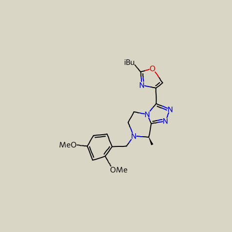 CCC(C)c1nc(-c2nnc3n2CCN(Cc2ccc(OC)cc2OC)[C@@H]3C)co1